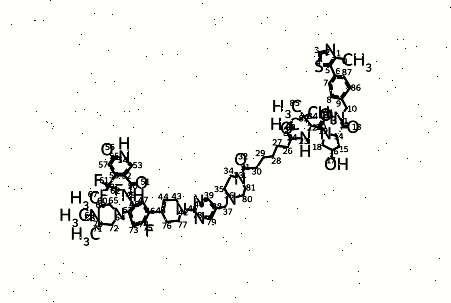 Cc1ncsc1-c1ccc(CNC(=O)[C@@H]2C[C@@H](O)CN2C(=O)[C@@H](NC(=O)CCCCCC(=O)N2CCN(Cc3cnc(N4CC=C(c5cc(NC(=O)c6c[nH]c(=O)cc6C(F)(F)F)c(N6C[C@@H](C)N(C)[C@@H](C)C6)cc5F)CC4)nc3)CC2)C(C)(C)C)cc1